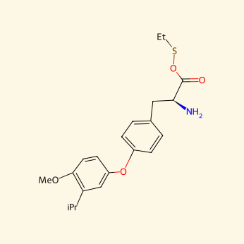 CCSOC(=O)[C@@H](N)Cc1ccc(Oc2ccc(OC)c(C(C)C)c2)cc1